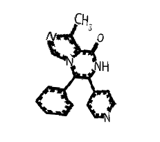 Cc1ncn2c(-c3ccccc3)c(-c3ccncc3)[nH]c(=O)c12